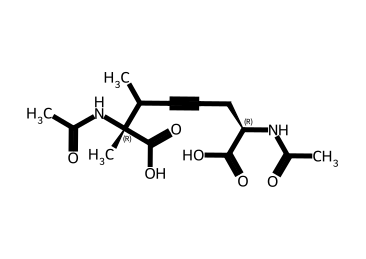 CC(=O)N[C@H](CC#CC(C)[C@@](C)(NC(C)=O)C(=O)O)C(=O)O